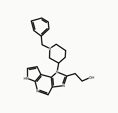 OCCc1nc2cnc3[nH]ccc3c2n1C1CCCN(Cc2ccccc2)C1